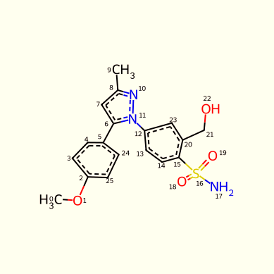 COc1ccc(-c2cc(C)nn2-c2ccc(S(N)(=O)=O)c(CO)c2)cc1